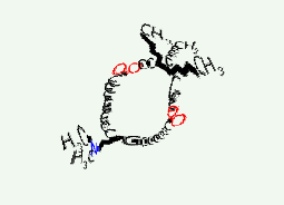 C=C=C=C=C1C(CCCCC)CCOC(=O)CCCCCCCC(CCCN(C)CC)CCCCCCCC(=O)OCCC1CCCCC